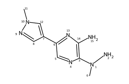 CN(N)c1ncc(-c2cnn(C)c2)nc1N